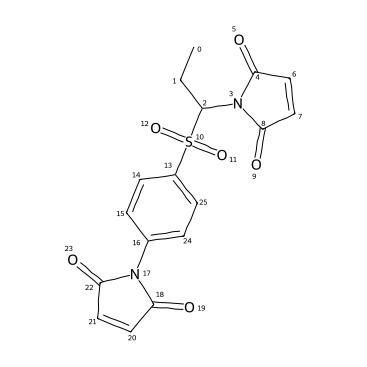 CCC(N1C(=O)C=CC1=O)S(=O)(=O)c1ccc(N2C(=O)C=CC2=O)cc1